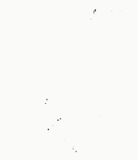 CCC[C@@]1(C#N)CCCC[C@H]1C1CCC([C@H]2CC[C@H](CC)CC2)CC1